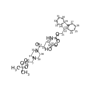 CC(C)(C)OC(=O)CN1CCN(C(=O)CCC(NC(=O)OCC2c3ccccc3-c3ccccc32)C(=O)O)CC1